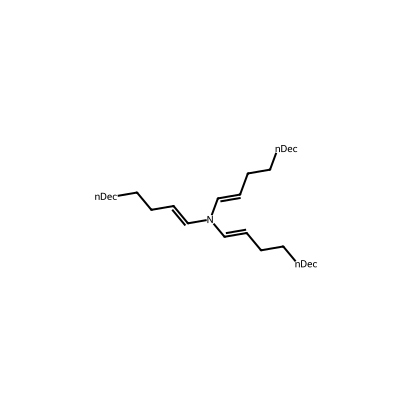 CCCCCCCCCCCC/C=C/N(/C=C/CCCCCCCCCCCC)/C=C/CCCCCCCCCCCC